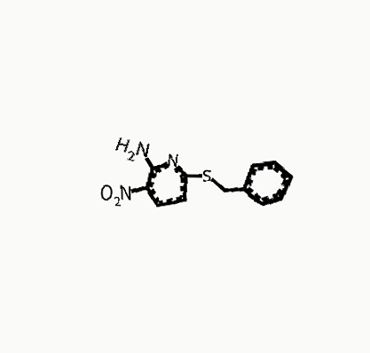 Nc1nc(SCc2ccccc2)ccc1[N+](=O)[O-]